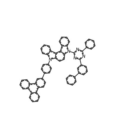 c1ccc(-c2cccc(-c3nc(-c4ccccc4)nc(-n4c5ccccc5c5c6c7ccccc7n(-c7ccc(-c8ccc9c%10ccccc%10c%10ccccc%10c9c8)cc7)c6ccc54)n3)c2)cc1